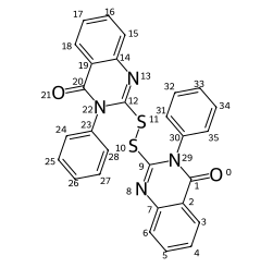 O=c1c2ccccc2nc(SSc2nc3ccccc3c(=O)n2-c2ccccc2)n1-c1ccccc1